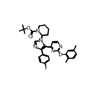 Cc1ccc(C)c(Oc2nccc(-c3c(-c4ccc(F)cc4)ncn3C3CCCCN3C(=O)OC(C)(C)C)n2)c1